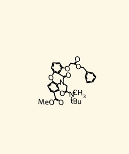 COC(=O)c1ccc2c(c1)N(CC(=O)N(C)C(C)(C)C)C(=O)c1c(OCC(=O)OCc3ccccc3)cccc1O2